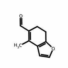 CC1=C(C=O)CCc2occc21